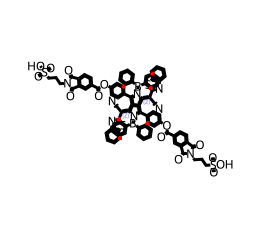 N#C/C(c1nc2ccccc2s1)=c1\c2c(-c3ccc(OC(=O)c4ccc5c(c4)C(=O)N(CCCS(=O)(=O)O)C5=O)cc3)n(B(c3ccccc3)c3ccccc3)/c(=C(/C#N)c3nc4ccccc4s3)c2c(-c2ccc(OC(=O)c3ccc4c(c3)C(=O)N(CCCS(=O)(=O)O)C4=O)cc2)n1B(c1ccccc1)c1ccccc1